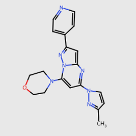 Cc1ccn(-c2cc(N3CCOCC3)n3nc(-c4ccncc4)cc3n2)n1